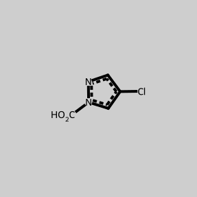 O=C(O)n1cc(Cl)cn1